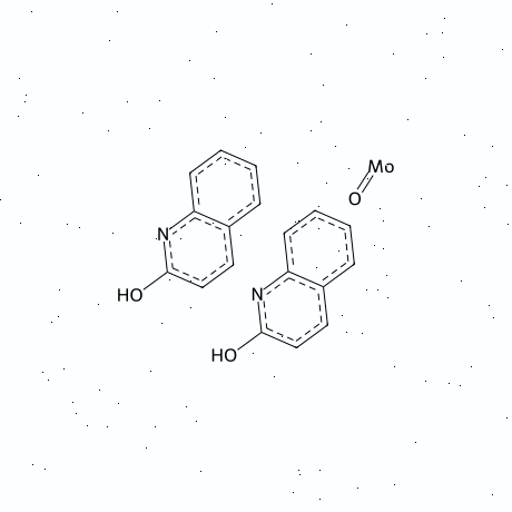 Oc1ccc2ccccc2n1.Oc1ccc2ccccc2n1.[O]=[Mo]